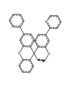 c1ccc(-c2ccc3c(c2)Oc2ccccc2C32c3ccccc3Oc3cc(-c4ccccn4)ccc32)cc1